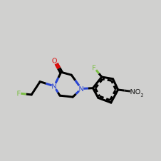 O=C1CN(c2ccc([N+](=O)[O-])cc2F)CCN1CCF